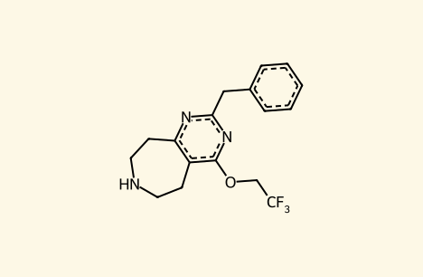 FC(F)(F)COc1nc(Cc2ccccc2)nc2c1CCNCC2